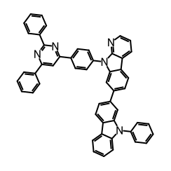 c1ccc(-c2cc(-c3ccc(-n4c5cc(-c6ccc7c8ccccc8n(-c8ccccc8)c7c6)ccc5c5cccnc54)cc3)nc(-c3ccccc3)n2)cc1